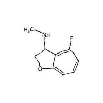 CNC1COc2cccc(F)c21